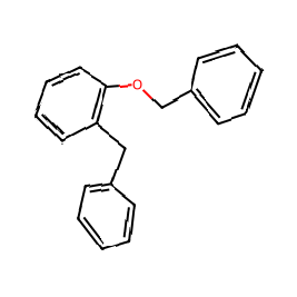 [c]1cccc(OCc2ccccc2)c1Cc1ccccc1